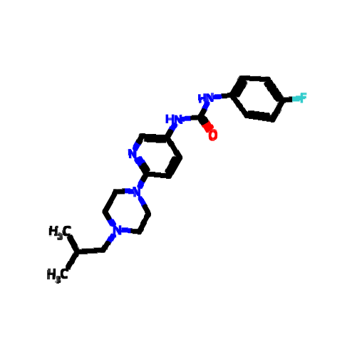 CC(C)CN1CCN(c2ccc(NC(=O)Nc3ccc(F)cc3)cn2)CC1